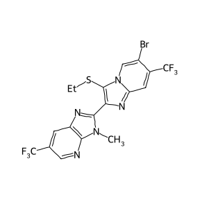 CCSc1c(-c2nc3cc(C(F)(F)F)cnc3n2C)nc2cc(C(F)(F)F)c(Br)cn12